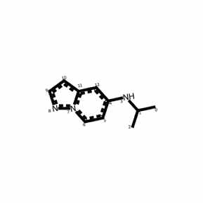 CC(C)Nc1ccn2nccc2c1